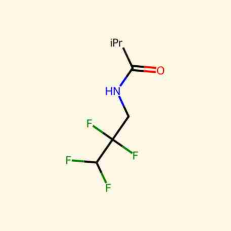 CC(C)C(=O)NCC(F)(F)C(F)F